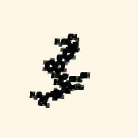 CN(C)CCn1cc(-n2nc(C(C)(C)C)cc2NC(=O)NC2CCC(Oc3ccc4nnc(N(C)C)n4c3)c3ccccc32)cn1.O=CO